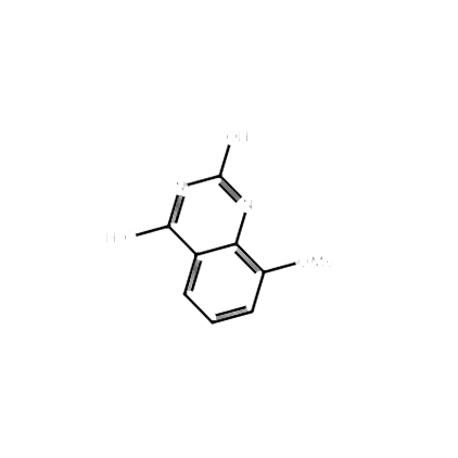 COc1cccc2c(C)nc(O)nc12